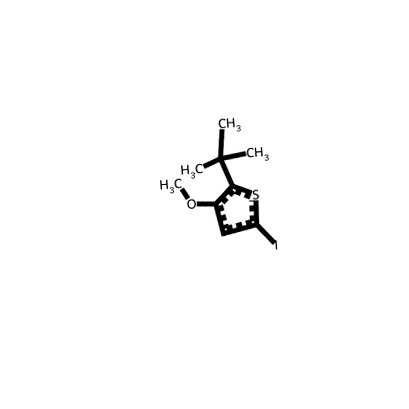 COc1cc(I)sc1C(C)(C)C